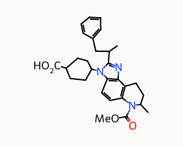 COC(=O)N1c2ccc3c(nc(C(C)Cc4ccccc4)n3C3CCC(C(=O)O)CC3)c2CCC1C